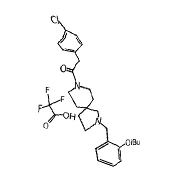 CC(C)COc1ccccc1CN1CCC2(CCN(C(=O)Cc3ccc(Cl)cc3)CC2)C1.O=C(O)C(F)(F)F